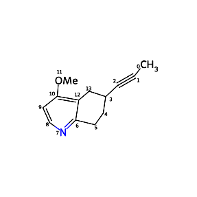 CC#CC1CCc2nccc(OC)c2C1